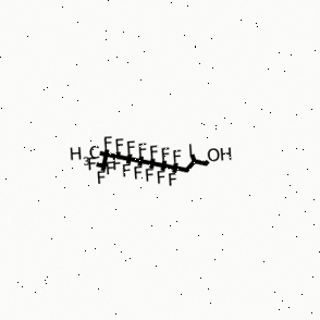 CC(F)(C(F)(F)F)C(F)(F)C(F)(F)C(F)(F)C(F)(F)C(F)(F)C(F)(F)CC(I)CO